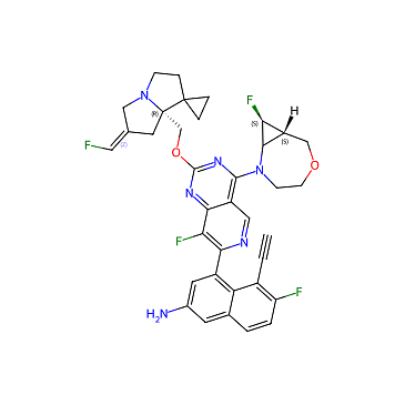 C#Cc1c(F)ccc2cc(N)cc(-c3ncc4c(N5CCOC[C@@H]6C5[C@H]6F)nc(OC[C@]56C/C(=C/F)CN5CCC65CC5)nc4c3F)c12